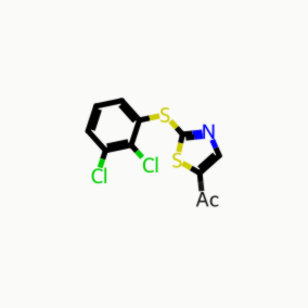 CC(=O)c1cnc(Sc2cccc(Cl)c2Cl)s1